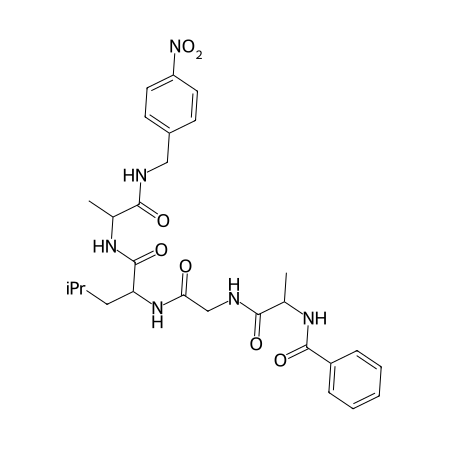 CC(C)CC(NC(=O)CNC(=O)C(C)NC(=O)c1ccccc1)C(=O)NC(C)C(=O)NCc1ccc([N+](=O)[O-])cc1